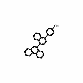 N#Cc1ccc(-c2ccc(-c3cc4ccccc4c4ccccc34)c3ccccc23)cc1